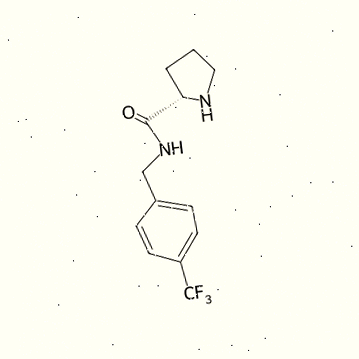 O=C(NCc1ccc(C(F)(F)F)cc1)[C@@H]1CCCN1